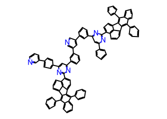 c1ccc(-c2cc(-c3cccc(-c4cncc(-c5cccc(-c6cc(-c7ccc(-c8cccnc8)cc7)nc(-c7ccc8c9c(cccc79)-c7c-8c(-c8ccccc8)c8ccccc8c7-c7ccccc7)n6)c5)c4)c3)nc(-c3ccc4c5c(cccc35)-c3c-4c(-c4ccccc4)c4ccccc4c3-c3ccccc3)n2)cc1